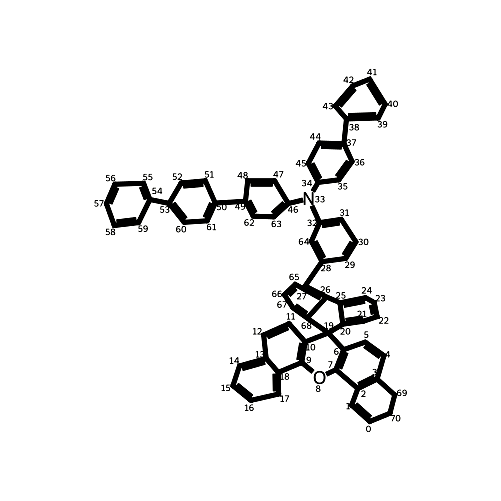 C1=Cc2c(ccc3c2Oc2c(ccc4ccccc24)C32c3ccccc3-c3c(-c4cccc(N(c5ccc(-c6ccccc6)cc5)c5ccc(-c6ccc(-c7ccccc7)cc6)cc5)c4)cccc32)CC1